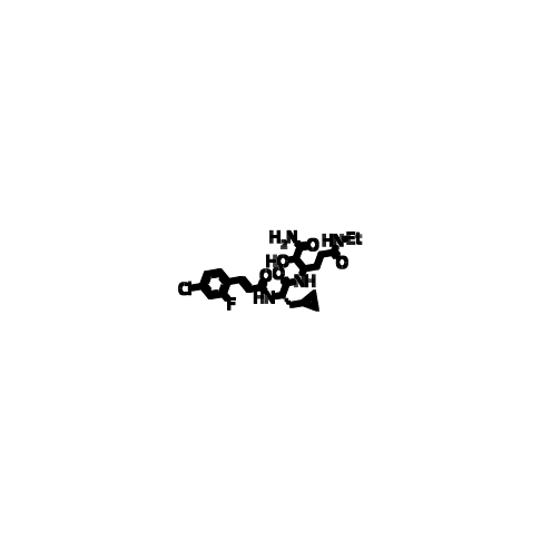 CCNC(=O)CCC(NC(=O)[C@H](CC1CC1)NC(=O)/C=C/c1ccc(Cl)cc1F)C(O)C(N)=O